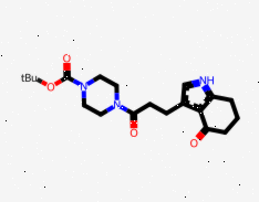 CC(C)(C)OC(=O)N1CCN(C(=O)CCc2c[nH]c3c2C(=O)CCC3)CC1